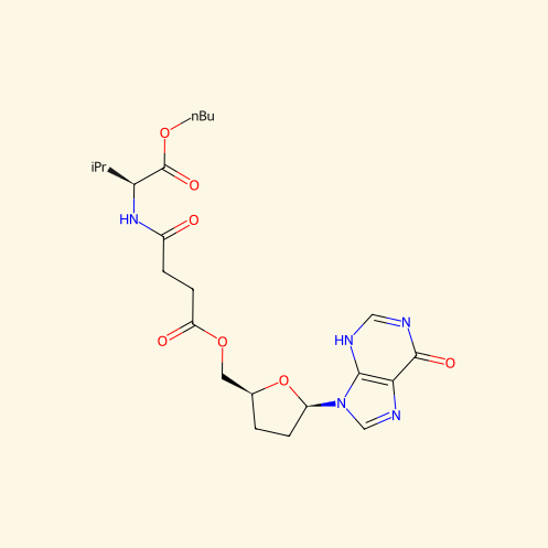 CCCCOC(=O)[C@@H](NC(=O)CCC(=O)OC[C@@H]1CC[C@H](n2cnc3c(=O)nc[nH]c32)O1)C(C)C